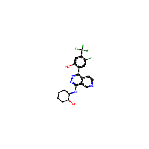 Oc1cc(C(F)(F)F)c(F)cc1-c1nnc(NC2CCCCC2O)c2cnccc12